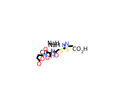 O=C(O)Cc1nnc(SCC(=O)N[C@H]2CON(C3(C(=O)O)CCC(=O)O3)C2=O)s1.[NaH].[NaH]